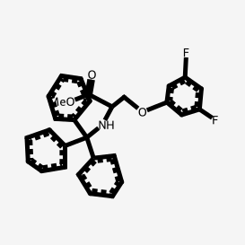 COC(=O)C(COc1cc(F)cc(F)c1)NC(c1ccccc1)(c1ccccc1)c1ccccc1